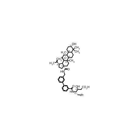 C=C(C)[C@@H]1CC[C@]2(C(=O)NCc3cccc(-c4cccc(C(=O)N[C@@H](CC(C)C)[C@@H](O)CC(=O)O)c4)c3)CC[C@]3(C)C(CCC4[C@@]5(C)CC[C@H](O)C(C)(C)C5CC[C@]43C)C12